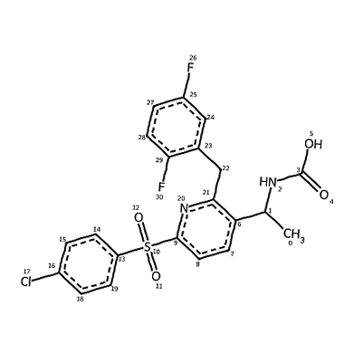 CC(NC(=O)O)c1ccc(S(=O)(=O)c2ccc(Cl)cc2)nc1Cc1cc(F)ccc1F